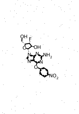 Nc1nc(Oc2ccc([N+](=O)[O-])cc2)c2ncn([C@@H]3O[C@H](CO)[C@H](F)[C@H]3O)c2n1